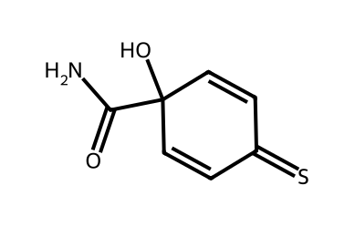 NC(=O)C1(O)C=CC(=S)C=C1